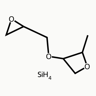 CC1OCC1OCC1CO1.[SiH4]